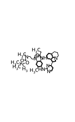 C=CC(=O)Nc1cc(Nc2nccc(-c3cn4c5c(cccc35)CCC4)n2)c(C)cc1N(C)CCN(C)C(=O)OC(C)(C)C